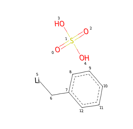 O=S(=O)(O)O.[Li][CH2]c1ccccc1